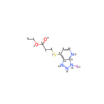 CCOC(=O)CCSc1ccnc2c1nnn2I